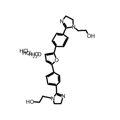 Cl.Cl.O.O.OCCN1CCN=C1c1ccc(-c2ccc(-c3ccc(C4=NCCN4CCO)cc3)o2)cc1